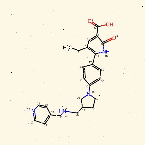 CCc1cc(C(=O)O)c(=O)[nH]c1-c1ccc(N2CCC(CNCc3ccncc3)C2)cc1